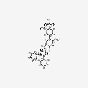 C=CC(=O)C(CC1CCC2(C1)O[C@H](c1ccccc1)[C@@H](c1ccccc1)O2)c1ccc(S(C)(=O)=O)c(Cl)c1